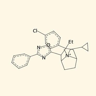 CCC1(c2ccc(Cl)cc2)CC2CCC(C1c1nc(-c3ccccc3)no1)[N+]2(C)CC1CC1